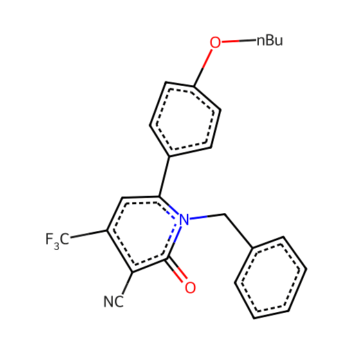 CCCCOc1ccc(-c2cc(C(F)(F)F)c(C#N)c(=O)n2Cc2ccccc2)cc1